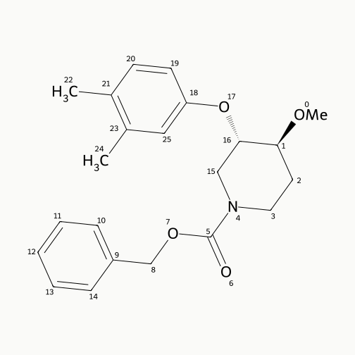 CO[C@H]1CCN(C(=O)OCc2ccccc2)C[C@@H]1Oc1ccc(C)c(C)c1